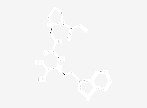 C=CC(=O)N1CCC[C@@H]1CNC(=O)N[C@@H](CCc1coc2ccccc12)B(O)O